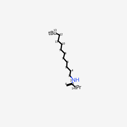 C=C(NCCCCCCCCCCC(C)(C)C)C(C)C